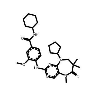 COc1cc(C(=O)NC2CCCCC2)ccc1Nc1ncc2c(n1)N(C1CCCC1)CC(C)(C)C(=O)N2C